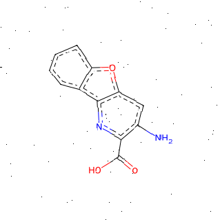 Nc1cc2oc3ccccc3c2nc1C(=O)O